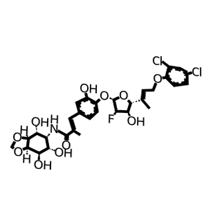 CC(=Cc1ccc(O[C@@H]2O[C@H](C(C)=CCOc3ccc(Cl)cc3Cl)[C@@H](O)[C@H]2F)c(O)c1)C(=O)N[C@@H]1[C@H](O)[C@@H](O)[C@H]2OCO[C@H]2[C@@H]1O